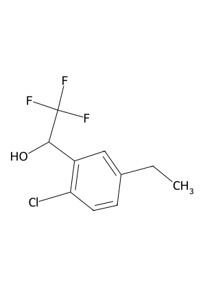 CCc1ccc(Cl)c(C(O)C(F)(F)F)c1